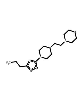 FC(F)(F)CCc1noc(N2CCN(CCN3CCOCC3)CC2)n1